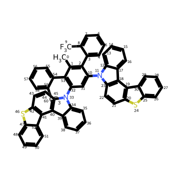 Cc1c(-c2ccccc2C(F)(F)F)c(-n2c3ccccc3c3c4c(ccc32)sc2ccccc24)cc(-n2c3ccccc3c3c4c(ccc32)sc2ccccc24)c1-c1ccccc1C(F)(F)F